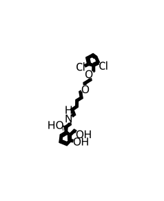 OCc1c(O)cccc1[C@@H](O)CNCCCCCCOCCOCc1c(Cl)cccc1Cl